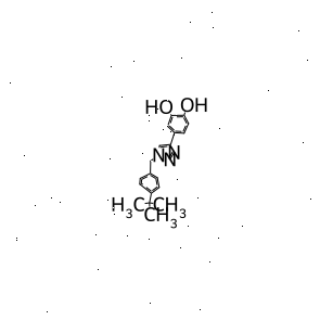 CC(C)(C)c1ccc(Cn2cc(-c3ccc(O)c(O)c3)nn2)cc1